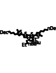 CCCCCCCCCCCCCCc1cc(-c2cc3c(s2)-c2sc(-c4cc(CCCCCCCCCCCCCC)c(C)s4)cc2[Si]3(CC(CC)CCCC)CC(CC)CCCC)sc1C